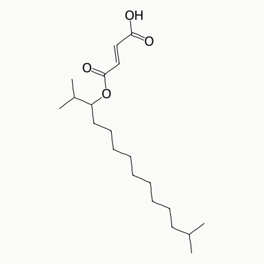 CC(C)CCCCCCCCCC(OC(=O)C=CC(=O)O)C(C)C